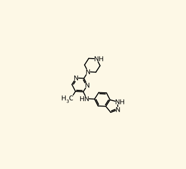 Cc1cnc(N2CCNCC2)nc1Nc1ccc2[nH]ncc2c1